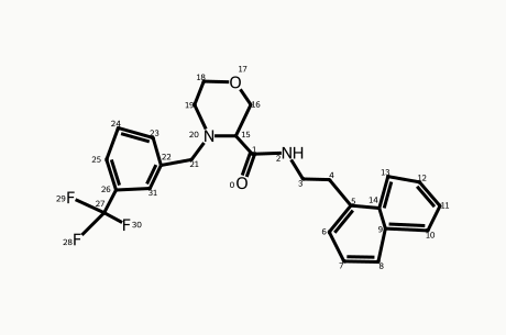 O=C(NCCc1cccc2ccccc12)C1COCCN1Cc1cccc(C(F)(F)F)c1